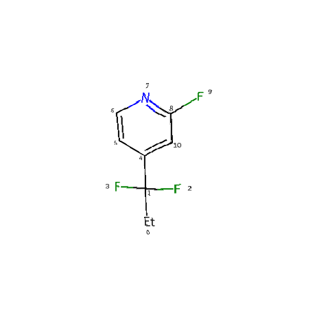 CCC(F)(F)c1ccnc(F)c1